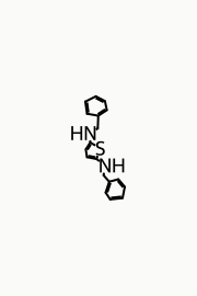 c1ccc(CNc2ccc(NCc3ccccc3)s2)cc1